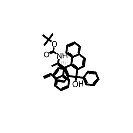 C=Cc1ccccc1/C(=C(\C)NC(=O)OC(C)(C)C)c1c(C(O)(c2ccccc2)c2ccccc2)ccc2ccccc12